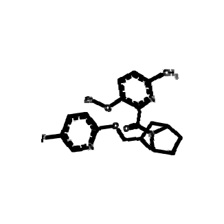 CCOc1ccc(C)nc1C(=O)N1C2CCC1C(COc1ccc(F)cn1)C2